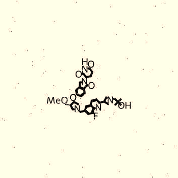 COC[C@@H]1CN(Cc2cc(F)c3nc(C4CN(CC(C)(C)O)C4)ccc3c2)C[C@H]1Oc1ccc2c(c1)CN([C@H]1CCC(=O)NC1=O)C2=O